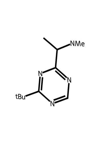 CNC(C)c1ncnc(C(C)(C)C)n1